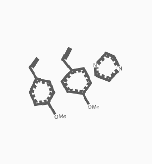 C=Cc1ccc(OC)cc1.C=Cc1ccc(OC)cc1.c1cnccn1